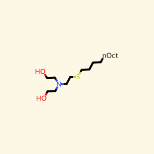 CCCCCCCCCCCCSCCN(CCO)CCO